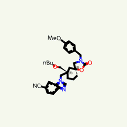 CCCCOC[C@]1(Cn2cnc3ccc(C#N)cc32)CCC[C@@]2(CN(Cc3ccc(OC)cc3)C(=O)O2)C1